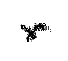 CC(C)CCOC(=O)[C@H](CC(=O)OCc1ccccc1)NP(=O)(OC[C@@H]1C[C@@H](O)[C@H](n2cnc(C(N)=O)c2O)O1)Oc1ccccc1